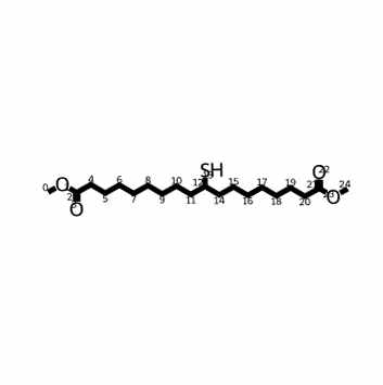 COC(=O)CCCCCCCCC(S)CCCCCCCC(=O)OC